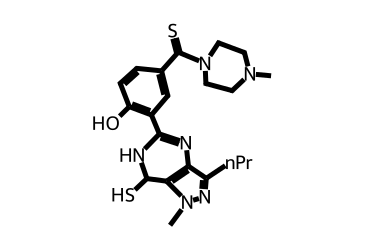 CCCc1nn(C)c2c1N=C(c1cc(C(=S)N3CCN(C)CC3)ccc1O)NC2S